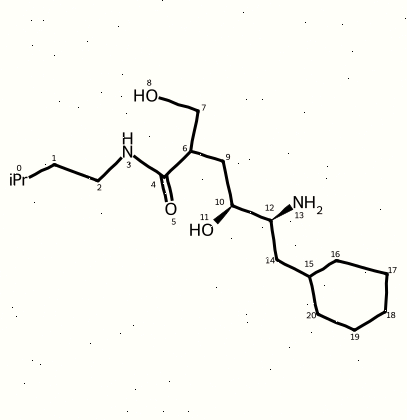 CC(C)CCNC(=O)C(CO)C[C@H](O)[C@@H](N)CC1CCCCC1